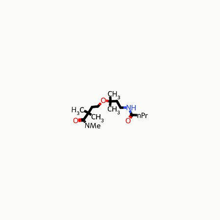 CCCC(=O)NCCC(C)(C)OCCC(C)(C)C(=O)NC